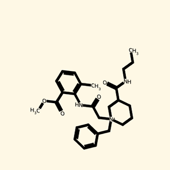 CCCNC(=O)C1CCC[N+](CC(=O)Nc2c(C)cccc2C(=O)OC)(Cc2ccccc2)C1